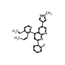 C=Cc1ccnc(-c2cc(-c3ccccc3F)nc3ncc(-c4cnn(C)c4)cc23)c1/C=C\C